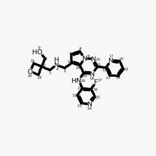 OCC1(CNCc2ccn3nc(-c4ccccn4)nc(Nc4ccncc4F)c23)COC1